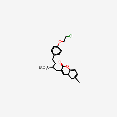 CCOC(=O)C(CCc1ccc(OCCCl)cc1)CC1=CC2CC(C)=CC=C2OC1=O